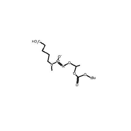 CC(ON=[N+]([O-])N(C)CCCCC(=O)O)OC(=O)OC(C)(C)C